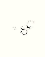 COC1(C(=O)O)CCCN1C(=O)OC(C)(C)C